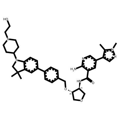 Cc1c(-c2cnc(N)c(C(=O)N[C@H]3COC[C@@H]3OCc3ccc(-c4ccc5c(c4)C(C)(C)CN5C4CCN(CCO)CC4)cc3)c2)cnn1C